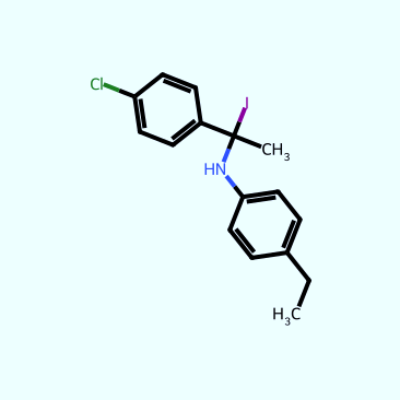 CCc1ccc(NC(C)(I)c2ccc(Cl)cc2)cc1